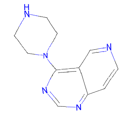 c1cc2ncnc(N3CCNCC3)c2cn1